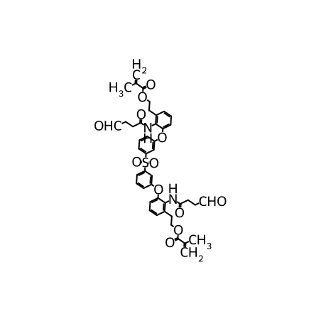 C=C(C)C(=O)OCCc1cccc(Oc2cccc(S(=O)(=O)c3cccc(Oc4cccc(CCOC(=O)C(=C)C)c4NC(=O)CCC=O)c3)c2)c1NC(=O)CCC=O